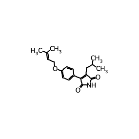 CC(C)=CCOc1ccc(C2=C(CC(C)C)C(=O)NC2=O)cc1